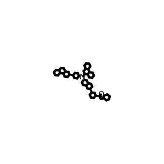 c1cc(-c2ccc3cc(N(c4ccc(-c5ccc6c(ccc7ccccc76)c5)cc4)c4cc5ccccc5c5ccccc45)ccc3c2)cc(-c2cc3ccccc3o2)c1